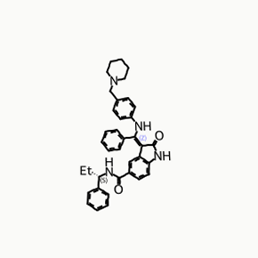 CC[C@H](NC(=O)c1ccc2c(c1)/C(=C(/Nc1ccc(CN3CCCCC3)cc1)c1ccccc1)C(=O)N2)c1ccccc1